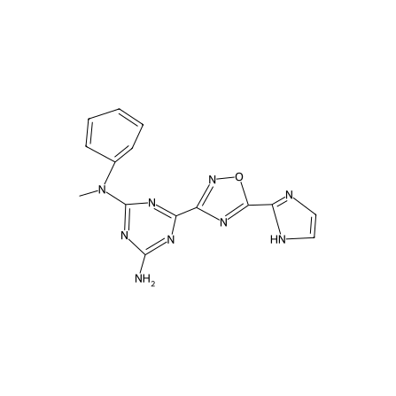 CN(c1ccccc1)c1nc(N)nc(-c2noc(-c3ncc[nH]3)n2)n1